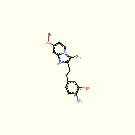 CCOc1ccn2c(C)c(CCc3ccc(N)c(O)c3)nc2c1